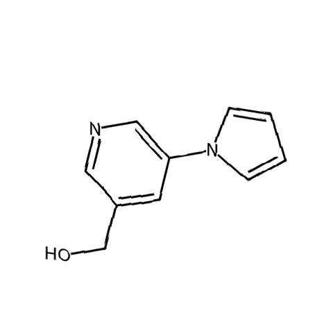 OCc1cncc(-n2cccc2)c1